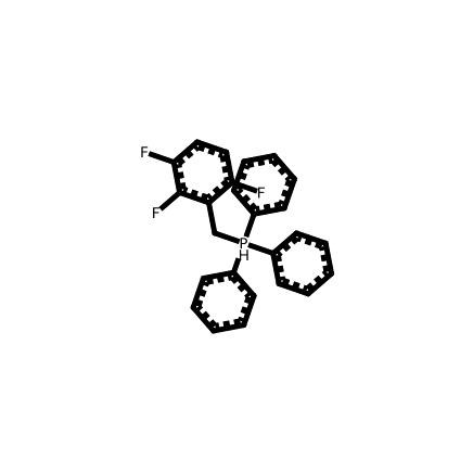 Fc1ccc(F)c(C[PH](c2ccccc2)(c2ccccc2)c2ccccc2)c1F